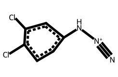 N#[N+]Nc1ccc(Cl)c(Cl)c1